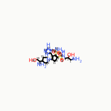 NCC(O)CNS(=O)(=O)c1ccc(N2CCC([C@@H](N)CO)CC2)c(-c2nn[nH]n2)c1S(N)(=O)=O